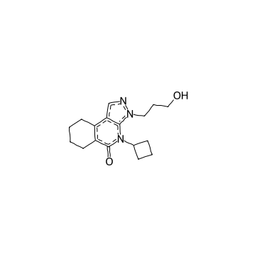 O=c1c2c(c3cnn(CCCO)c3n1C1CCC1)CCCC2